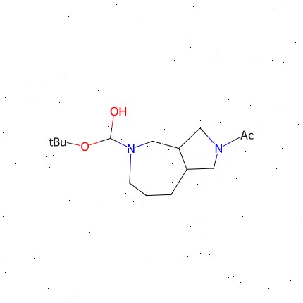 CC(=O)N1CC2CCCN(C(O)OC(C)(C)C)CC2C1